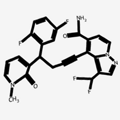 Cn1cccc(C(CC#Cc2c(C(N)=O)ccn3ncc(C(F)F)c23)c2cc(F)ccc2F)c1=O